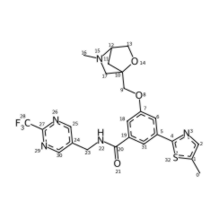 Cc1cnc(-c2cc(OCC34CC(CO3)N(C)C4)cc(C(=O)NCc3cnc(C(F)(F)F)nc3)c2)s1